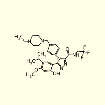 CCN1CCN(Cc2ccc(-n3c(C(=O)NCC(F)(F)F)nnc3-c3cc(C(C)C)c(OC)cc3O)cc2)CC1